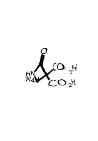 O=C(O)C1(C(=O)O)CNC1=O.[NaH]